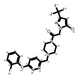 O=C(Cn1nc(C(F)(F)F)cc1Cl)N1CCN(Cc2ccc(Oc3ccccc3F)nn2)CC1